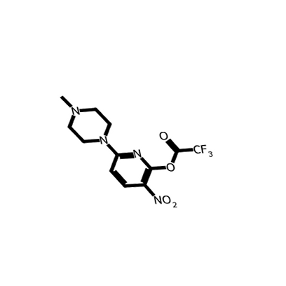 CN1CCN(c2ccc([N+](=O)[O-])c(OC(=O)C(F)(F)F)n2)CC1